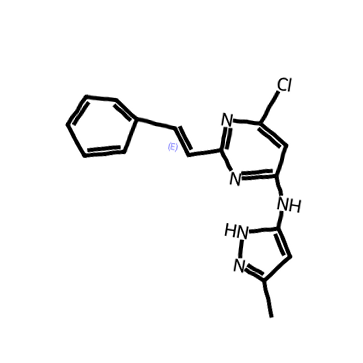 Cc1cc(Nc2cc(Cl)nc(/C=C/c3ccccc3)n2)[nH]n1